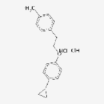 Cl.Cl.[CH2]c1ccc(CCOc2ccc(C3CC3)cc2)cc1